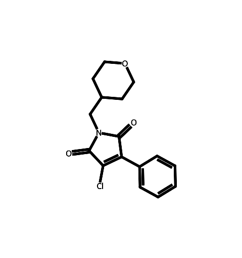 O=C1C(Cl)=C(c2ccccc2)C(=O)N1CC1CCOCC1